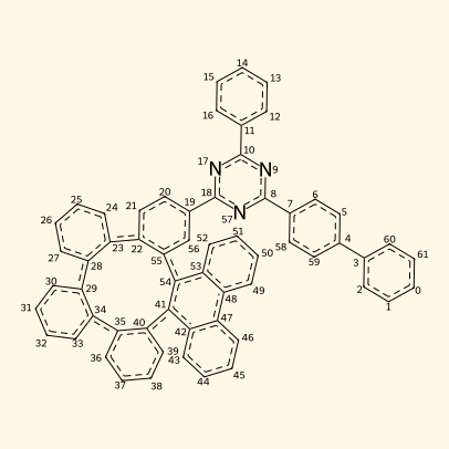 c1ccc(-c2ccc(-c3nc(-c4ccccc4)nc(-c4ccc5c6ccccc6c6ccccc6c6ccccc6c6c7ccccc7c7ccccc7c6c5c4)n3)cc2)cc1